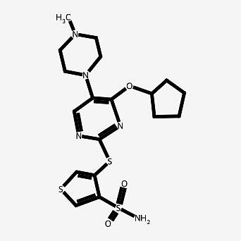 CN1CCN(c2cnc(Sc3cscc3S(N)(=O)=O)nc2OC2CCCC2)CC1